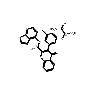 CC[C@H](Nc1ncnc2[nH]cnc12)c1oc2ccccc2c(=O)c1-c1cccc(F)c1.O=C(O)[C@H](O)[C@@H](O)C(=O)O